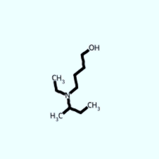 CCC(C)N(CC)CCCCO